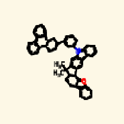 CC1(C)c2cc3c(cc2-c2c1ccc1c2oc2ccccc21)c1ccccc1n3-c1cccc(-c2ccc3c4ccccc4c4ccccc4c3c2)c1